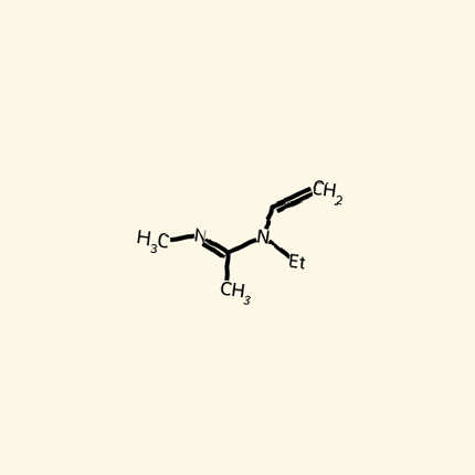 C=CN(CC)/C(C)=N/C